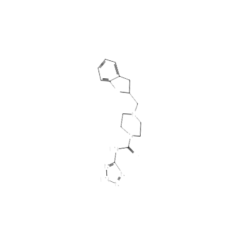 O=C(Nc1nn[nH]n1)N1CCN(CC2Cc3ccccc3S2)CC1